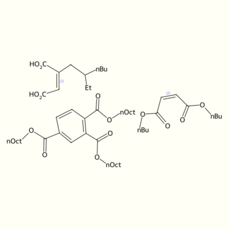 CCCCC(CC)C/C(=C/C(=O)O)C(=O)O.CCCCCCCCOC(=O)c1ccc(C(=O)OCCCCCCCC)c(C(=O)OCCCCCCCC)c1.CCCCOC(=O)/C=C\C(=O)OCCCC